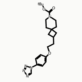 CC(C)(C)OC(=O)N1CCC2(CC1)CC(CCOc1ccc(-n3cnnn3)cc1)C2